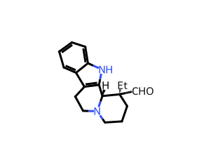 CC[C@]1(C=O)CCCN2CCc3c([nH]c4ccccc34)[C@@H]21